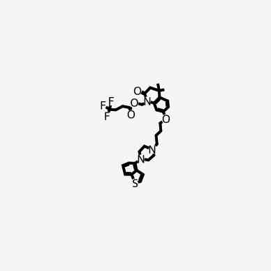 CC1(C)CC(=O)N(COC(=O)CCC(F)(F)F)c2cc(OCCCCN3CCN(c4cccc5sccc45)CC3)ccc21